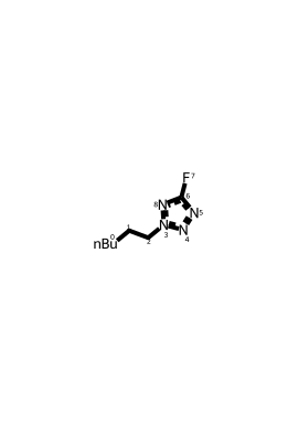 CCCCCCn1nnc(F)n1